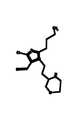 CCCCc1nc(Cl)c(C=O)n1CCC1COCCN1